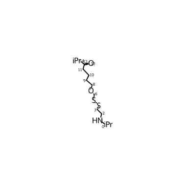 CC(C)NCCSSCOCCCCC(=O)C(C)C